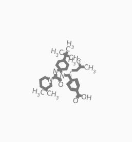 CC(C)CC[C@H](c1ccc(C(=O)O)cc1)N1C(=O)C(N2CCCC(C)(C)C2)=NC12CCC(C(C)(C)C)CC2